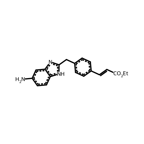 CCOC(=O)/C=C/c1ccc(Cc2nc3cc(N)ccc3[nH]2)cc1